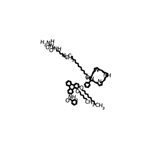 CCCCCCCCCCCCOc1c(-c2ccccc2)c2cc3nc(cc4ccc(cc5nc(cc1[nH]2)C=C5)[nH]4)C=C3.CCCCCCCCCCOc1ccc2c3ccccc3c3ccccc3c2c1OCCCCCC.CCCCCCNC(=O)NC(N)=O.NC(=O)c1ccccc1